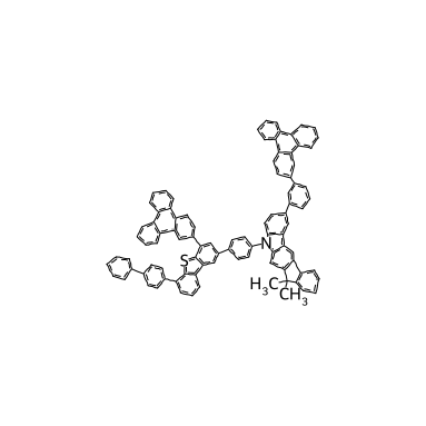 CC1(C)c2ccccc2-c2cc3c4cc(-c5cccc(-c6ccc7c8ccccc8c8ccccc8c7c6)c5)ccc4n(-c4ccc(-c5cc(-c6ccc7c8ccccc8c8ccccc8c7c6)c6sc7c(-c8ccc(-c9ccccc9)cc8)cccc7c6c5)cc4)c3cc21